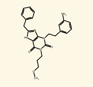 COCCCn1c(=O)c2[nH]c(Cc3ccccc3)nc2n(CCc2cccc(N)c2)c1=O